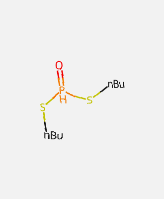 CCCCS[PH](=O)SCCCC